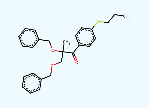 CCCSc1ccc(C(=O)C(C)(COCc2ccccc2)OCc2ccccc2)cc1